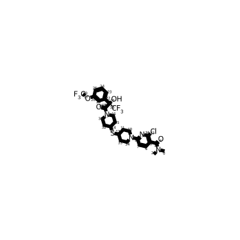 CN(C)C(=O)c1ccc(N2CCC(SC3CCN(C(=O)[C@](O)(c4cccc(OC(F)(F)F)c4)C(F)(F)F)CC3)CC2)nc1Cl